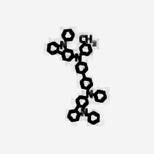 CC1C=CC=C(N(c2ccc(-c3ccc(N(c4ccccc4)c4ccc5c6ccccc6n(-c6ccccc6)c5c4)cc3)cc2)c2ccc3c4ccccc4n(-c4ccccc4)c3c2)C1